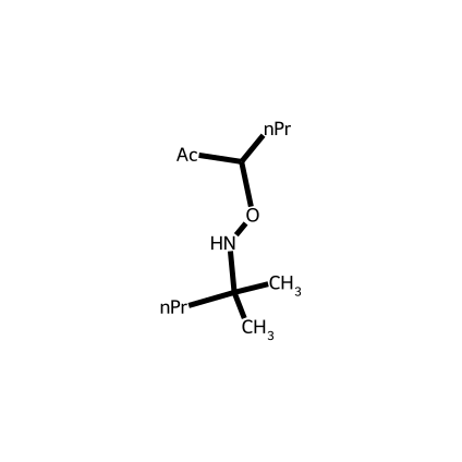 CCCC(ONC(C)(C)CCC)C(C)=O